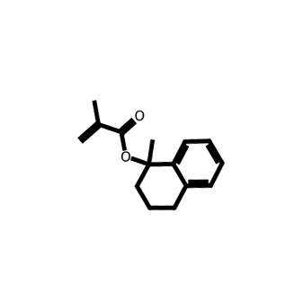 C=C(C)C(=O)OC1(C)CCCc2ccccc21